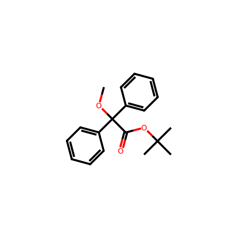 COC(C(=O)OC(C)(C)C)(c1ccccc1)c1ccccc1